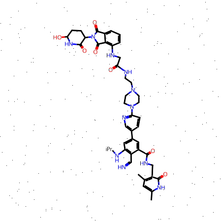 Cc1cc(C)c(CNC(=O)c2cc(-c3ccc(N4CCN(CCNC(=O)CNc5cccc6c5C(=O)N(C5CCC(O)NC5=O)C6=O)CC4)nc3)cc(NC(C)C)c2C=N)c(=O)[nH]1